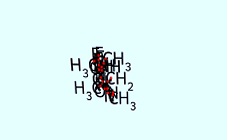 C=CCc1cc(-c2cnc(C)nc2)cc2c(C(C)=O)nn(CC(=O)N3C[C@H](C(=O)Nc4nc(C(F)(F)F)ccc4C)[C@](F)(CNC(=O)CCC)C3)c12